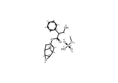 CCN1C2CC(OC(=O)C(CO)c3ccccc3)CC1C1OC12.COS(=O)(=O)O